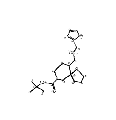 CC(C)(C)OC(=O)N1CCC(CNCc2ncc[nH]2)C2(CCCC2)C1